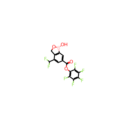 O=C(Oc1c(F)c(F)c(F)c(F)c1F)c1cc2c(c(C(F)F)c1)COB2O